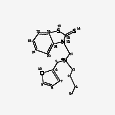 CCCCN(Cc1ccco1)Cn1c(=S)sc2ccccc21